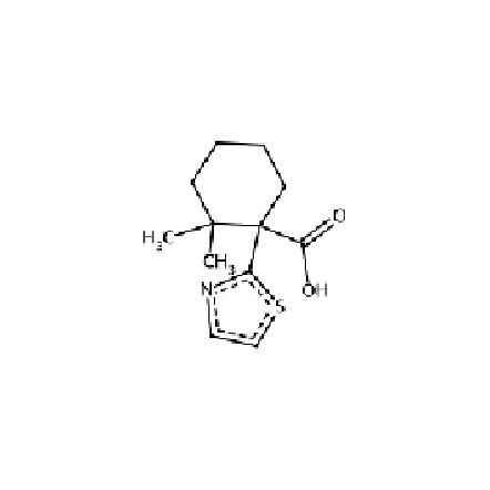 CC1(C)CCCCC1(C(=O)O)c1nccs1